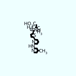 Cc1ccnc(Nc2cccc(-c3ccc(C(=O)NC(C)(C)CC(=O)O)s3)n2)c1